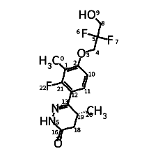 Cc1c(OCC(F)(F)CO)ccc(C2=NNC(=O)C[C@H]2C)c1F